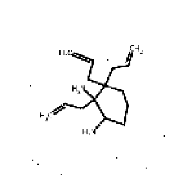 C=CCC1(CC=C)CCCC(N)C1(N)CC=C